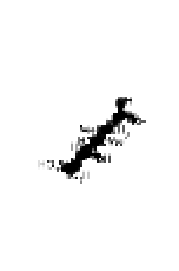 COc1cc(N=Nc2ccc3c(SOOO)cc(SOOO)cc3c2)c(C)cc1N=Nc1cc(O)c(N=Nc2c(SOOO)cc3cc(-n4nc5ccc6c(S(=O)(=O)O)cc(S(=O)(=O)O)cc6c5n4)ccc3c2O)cc1OC